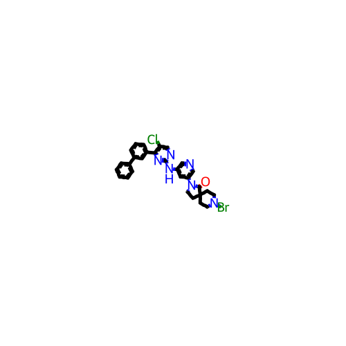 O=C1N(c2cncc(Nc3ncc(Cl)c(-c4cccc(-c5ccccc5)c4)n3)c2)CCC12CCN(Br)CC2